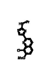 COc1ccc2[c]cc(-c3csc(NC(C)C)n3)nc2c1Cl